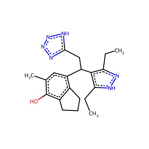 CCc1n[nH]c(CC)c1C(Cc1nnn[nH]1)c1cc(C)c(O)c2c1CCC2